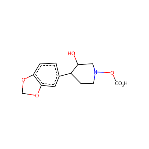 O=C(O)ON1CCC(c2ccc3c(c2)OCO3)C(O)C1